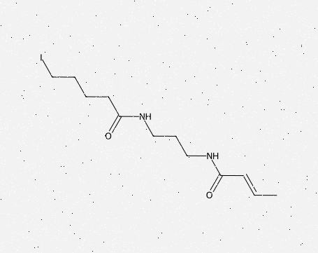 C/C=C/C(=O)NCCCNC(=O)CCCCI